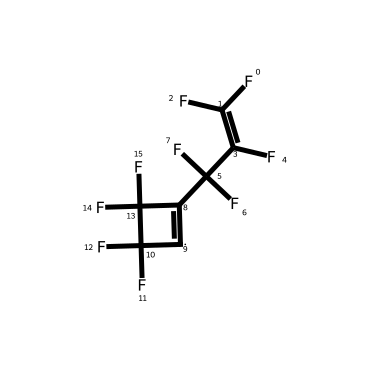 FC(F)=C(F)C(F)(F)C1=[C]C(F)(F)C1(F)F